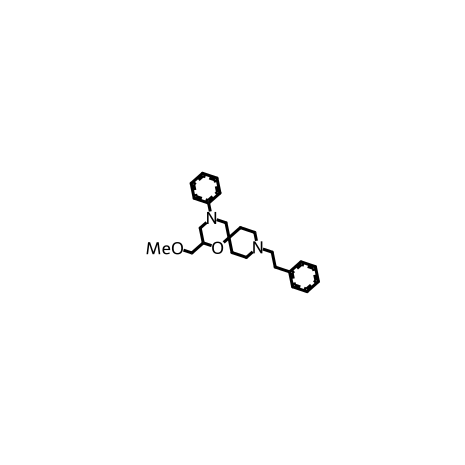 COCC1CN(c2ccccc2)CC2(CCN(CCc3ccccc3)CC2)O1